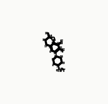 CCC[C@H]1CC[C@H](c2cc3c(c(F)c2F)OC(C)CC3)CC1